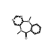 CN1C(=O)c2ccccc2N(C)c2ncncc21